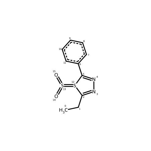 CCC1=NN=C(c2ccccc2)S1=S(=O)=O